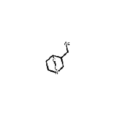 CC(=O)CC1CN2CCC1CC2